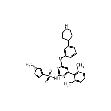 Cc1cccc(C)c1-c1cc(Oc2cccc(C3CCNCC3)c2)nc(NS(=O)(=O)c2cnn(C)c2)n1